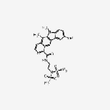 Cc1c2ccnc(C(=O)NCCN(S(C)(=O)=O)S(C)(=O)=O)c2cc2c3cc(O)ccc3n(C)c12